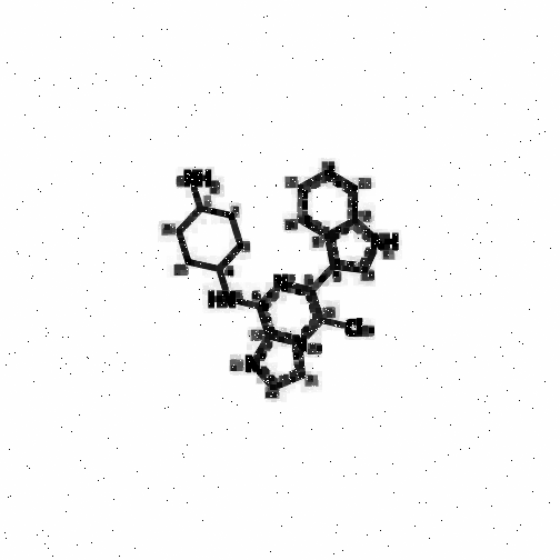 NC1CCC(Nc2nc(-c3c[nH]c4ccccc34)c(Cl)n3ccnc23)CC1